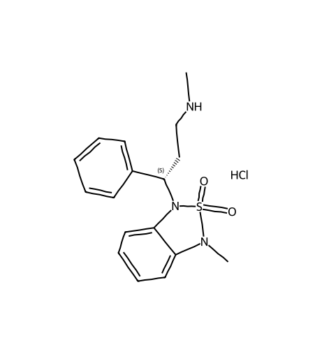 CNCC[C@@H](c1ccccc1)N1c2ccccc2N(C)S1(=O)=O.Cl